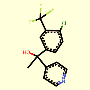 CC(O)(c1ccncc1)c1ccc(Cl)c(C(F)(F)F)c1